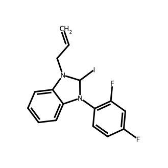 C=CCN1c2ccccc2N(c2ccc(F)cc2F)C1I